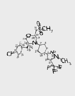 Cn1nc(C2CCC(N3C[C@H](CS(C)(=O)=O)OC[C@@H]3Cc3ccc(Cl)cc3)CC2)cc1C(F)(F)F